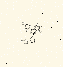 Cc1nc2c(-c3ccc(Cl)cc3F)nc([C@H]3C[C@@H](c4cnn(C)c4)OC(C)(C)C3)nc2c(=O)n1C